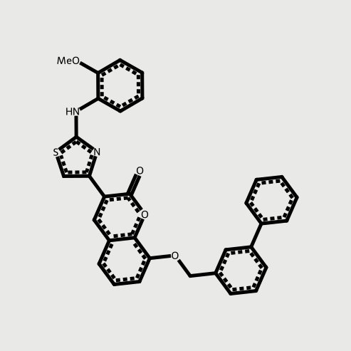 COc1ccccc1Nc1nc(-c2cc3cccc(OCc4cccc(-c5ccccc5)c4)c3oc2=O)cs1